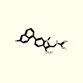 CCOC(=O)c1c(CNC(=N)N)n(C)c2cc(-c3cccc4cc(F)ccc34)ccc12